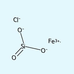 O=[Si]([O-])[O-].[Cl-].[Fe+3]